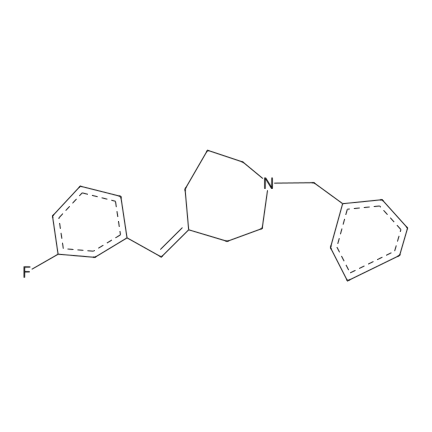 Fc1cccc(C=C2CCCN(Cc3ccccc3)CC2)c1